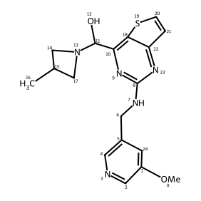 COc1cncc(CNc2nc(C(O)N3CC(C)C3)c3sccc3n2)c1